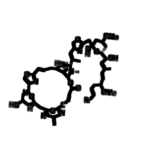 C=C1C[C@@H]2C[C@@H]3C[C@@H](O)C[C@@H](O3)c3coc(n3)/C=C/C[C@H]3O[C@@H](/C(C)=C/c4coc(C[C@]5(O)CC(OC)C[C@H]([C@H](O)/C=C(C)/C=C/C(C/C=C/Br)OC)O5)n4)[C@H](C)[C@@H](OC(=O)/C=C\C[C@@H](C1)O2)[C@@H]3C